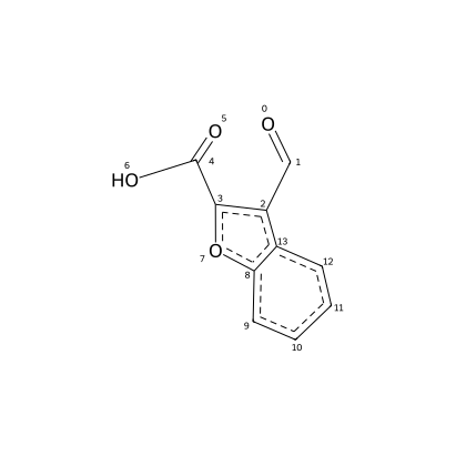 O=Cc1c(C(=O)O)oc2ccccc12